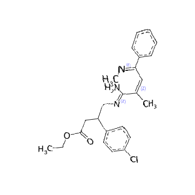 CCOC(=O)CC(C/N=C(N)/C(C)=C\C(=N/C)c1ccccc1)c1ccc(Cl)cc1